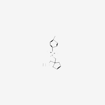 Cc1ccc(S(=O)(=O)OCC2(CO)CC=CC2)cc1